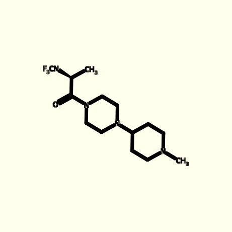 C[C@H](NC(F)(F)F)C(=O)N1CCN(C2CCN(C)CC2)CC1